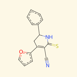 N#CC1=C(c2ccco2)CC(c2ccccc2)NC1=S